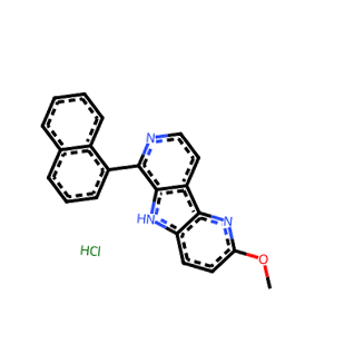 COc1ccc2[nH]c3c(-c4cccc5ccccc45)nccc3c2n1.Cl